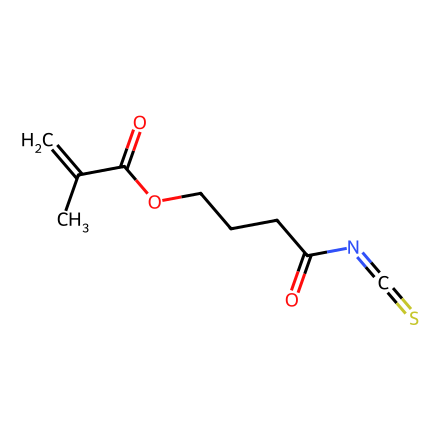 C=C(C)C(=O)OCCCC(=O)N=C=S